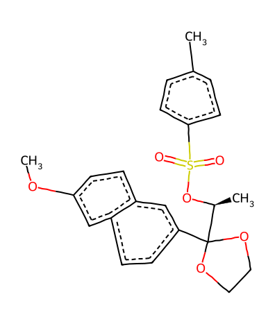 COc1ccc2cc(C3([C@H](C)OS(=O)(=O)c4ccc(C)cc4)OCCO3)ccc2c1